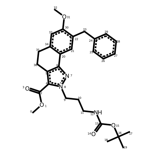 COC(=O)c1c2c(nn1CCCNC(=O)OC(C)(C)C)-c1cc(Cc3ccccc3)c(OC)cc1CC2